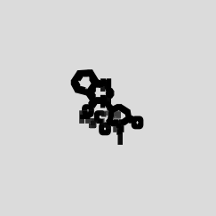 C[C@]1(n2cnc3ccccc3c2=O)CCC(=O)N(I)C1=O